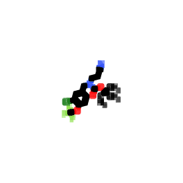 CC(C)(C)OC(=O)N(CCC#N)Cc1ccc(OC(F)(F)F)c(Cl)c1